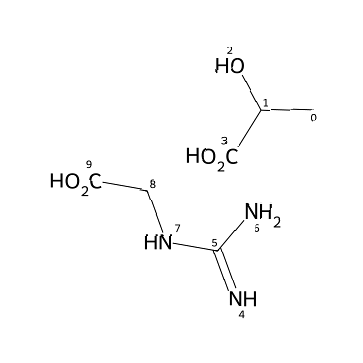 CC(O)C(=O)O.N=C(N)NCC(=O)O